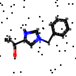 CC(=O)c1cn(Cc2ccccc2)cn1